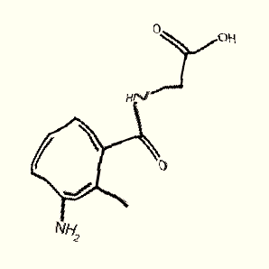 Cc1c(N)cccc1C(=O)NCC(=O)O